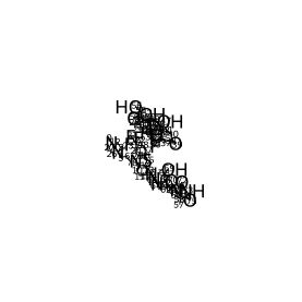 CN1CCN(CCCN2c3ccccc3Sc3ccc(C(F)(F)F)cc32)CC1.C[C@H]1C[C@H]2[C@@H]3C[C@H](F)C4=CC(=O)C=C[C@]4(C)[C@@]3(F)[C@@H](O)C[C@]2(C)[C@@]1(O)C(=O)CO.Cc1cn([C@H]2C[C@H](N=[N+]=[N-])[C@@H](CO)O2)c(=O)[nH]c1=O